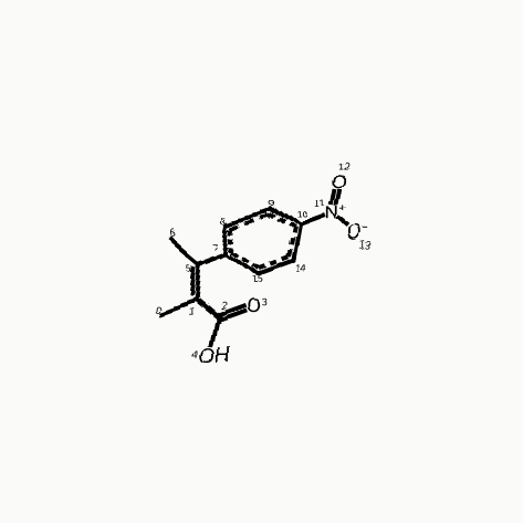 C/C(C(=O)O)=C(\C)c1ccc([N+](=O)[O-])cc1